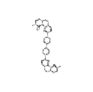 Cc1ccc2ccc3ccc(-c4ccc(-c5ccc(-c6ccc7ccc8c(c7n6)NC(C)C=C8)cc5)cc4)nc3c2n1